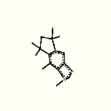 Cc1c2c(cc3ncn(C)c13)C(C)(C)CC2(C)C